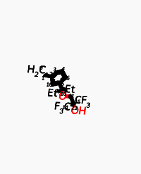 C=Cc1cccc(C(CC)(CC)OCC(O)(C(F)(F)F)C(F)(F)F)c1